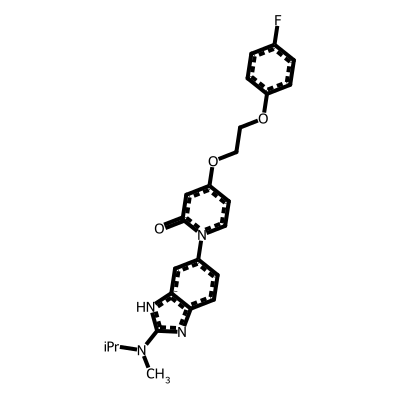 CC(C)N(C)c1nc2ccc(-n3ccc(OCCOc4ccc(F)cc4)cc3=O)cc2[nH]1